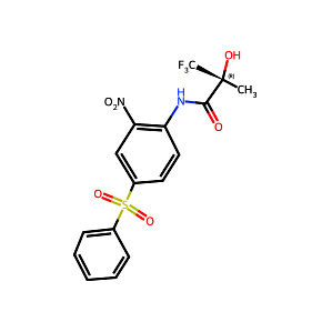 C[C@@](O)(C(=O)Nc1ccc(S(=O)(=O)c2ccccc2)cc1[N+](=O)[O-])C(F)(F)F